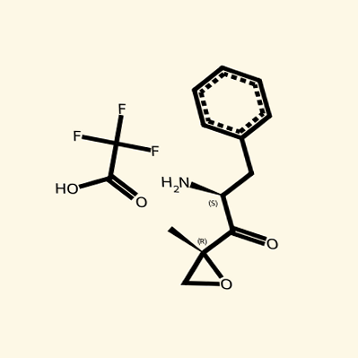 C[C@]1(C(=O)[C@@H](N)Cc2ccccc2)CO1.O=C(O)C(F)(F)F